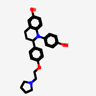 Oc1ccc(N2c3ccc(O)cc3CCC2c2ccc(OCCN3CCCC3)cc2)cc1